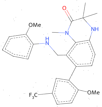 COc1ccccc1NCc1c(-c2cc(C(F)(F)F)ccc2OC)ccc2c1N(C)C(=O)C(C)(C)N2